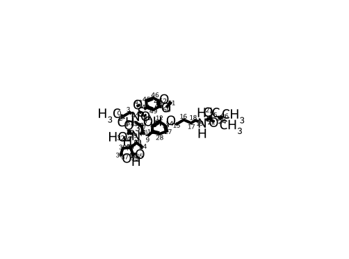 CC(C)CN(C[C@@H](O)[C@H](Cc1ccc(OCCCCNC(=O)OC(C)(C)C)cc1)N(C(=O)O)[C@H]1CO[C@H]2OCC[C@H]21)S(=O)(=O)c1ccc2c(c1)OCO2